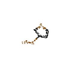 SSc1ccsc1